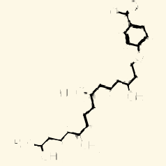 CC(C)CCC[C@@H](C)CCC[C@@H](C)CCCC(C)CCOc1ccc(C(=O)Cl)cc1